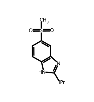 CC(C)c1nc2cc(S(C)(=O)=O)ccc2[nH]1